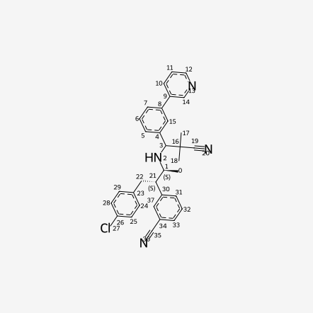 C[C@H](NC(c1cccc(-c2cccnc2)c1)C(C)(C)C#N)[C@@H](Cc1ccc(Cl)cc1)c1cccc(C#N)c1